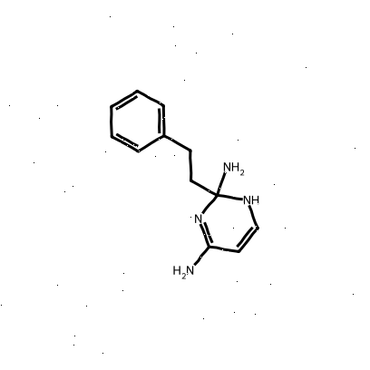 NC1=NC(N)(CCc2ccccc2)NC=C1